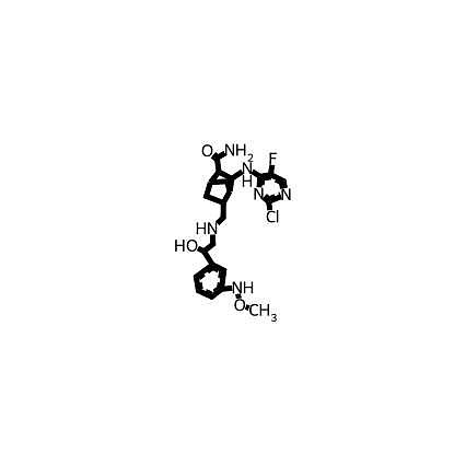 CONc1cccc(C(O)CNCC2CC3CC2C(Nc2nc(Cl)ncc2F)C3C(N)=O)c1